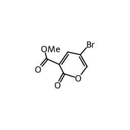 COC(=O)c1cc(Br)coc1=O